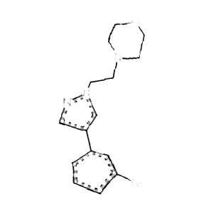 Brc1cccc(-c2cnn(CCN3CCOCC3)c2)c1